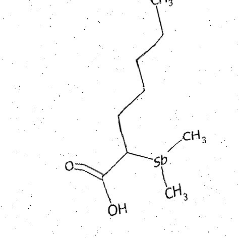 CCCCC[CH](C(=O)O)[Sb]([CH3])[CH3]